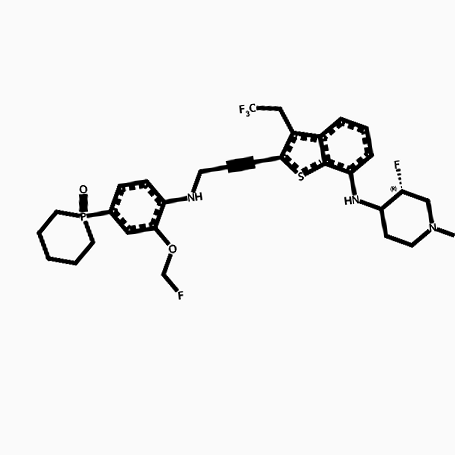 CN1CCC(Nc2cccc3c(CC(F)(F)F)c(C#CCNc4ccc(P5(=O)CCCCC5)cc4OCF)sc23)[C@H](F)C1